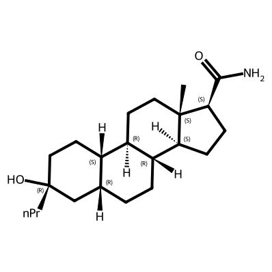 CCC[C@@]1(O)CC[C@H]2[C@H](CC[C@@H]3[C@@H]2CC[C@]2(C)[C@@H](C(N)=O)CC[C@@H]32)C1